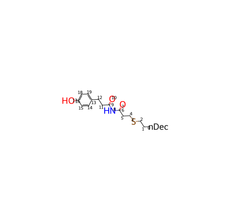 CCCCCCCCCCCCSCCC(=O)NC(=O)CCc1ccc(O)cc1